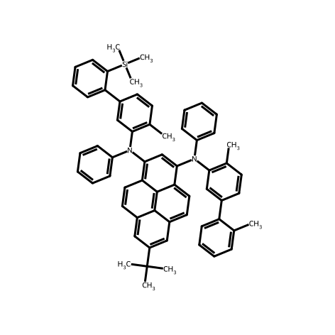 Cc1ccccc1-c1ccc(C)c(N(c2ccccc2)c2cc(N(c3ccccc3)c3cc(-c4ccccc4[Si](C)(C)C)ccc3C)c3ccc4cc(C(C)(C)C)cc5ccc2c3c54)c1